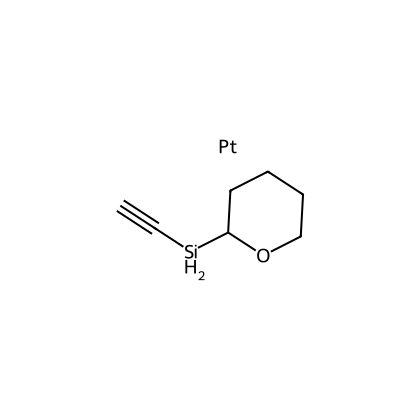 C#C[SiH2]C1CCCCO1.[Pt]